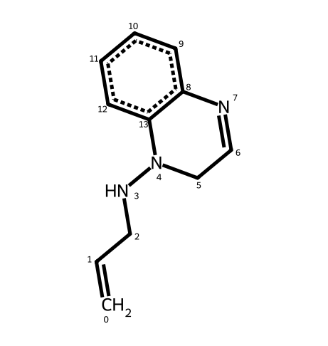 C=CCNN1CC=Nc2ccccc21